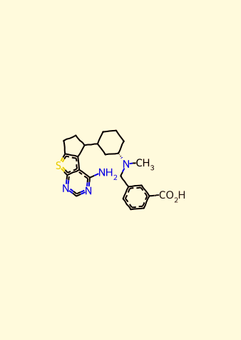 CN(Cc1cccc(C(=O)O)c1)[C@H]1CCCC(C2CCc3sc4ncnc(N)c4c32)C1